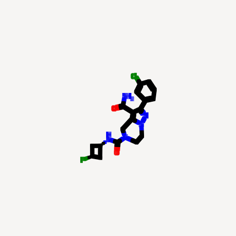 NC(=O)c1c(-c2cccc(Cl)c2)nn2c1CN(C(=O)N[C@H]1C[C@H](F)C1)CC2